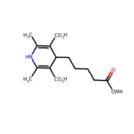 COC(=O)CCCCC1C(C(=O)O)=C(C)NC(C)=C1C(=O)O